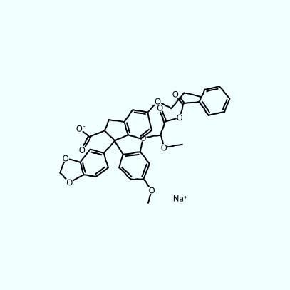 CCCOc1ccc2c(c1)CC(C(=O)[O-])C2(c1ccc2c(c1)OCO2)c1ccc(OC)cc1OC(OC)C(=O)OC(=O)c1ccccc1.[Na+]